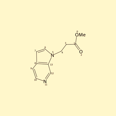 COC(=O)CCn1ccc2ccncc21